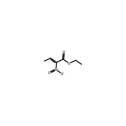 CC=C(C(=O)OCC)[N+](=O)[O-]